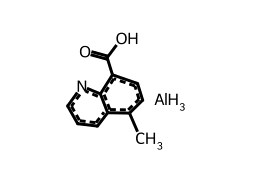 Cc1ccc(C(=O)O)c2ncccc12.[AlH3]